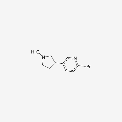 CC(C)c1ccc(C2CCN(C)C2)cn1